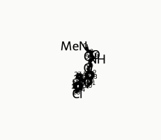 CNCCCS(=O)(=O)NCCOc1ccc2c(c1)C(C1(c3ccc(Cl)cc3)CCC1)NCC2